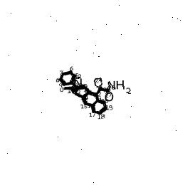 Cc1c2c(-c3ccccc3)c(n1C)-c1c-2cc2ccccc2c1C(=O)C(N)=O